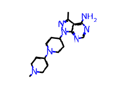 Cc1nn(C2CCN(C3CCN(C)CC3)CC2)c2ncnc(N)c12